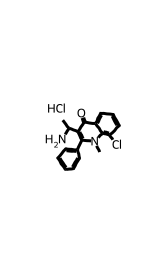 CC(N)c1c(-c2ccccc2)n(C)c2c(Cl)cccc2c1=O.Cl